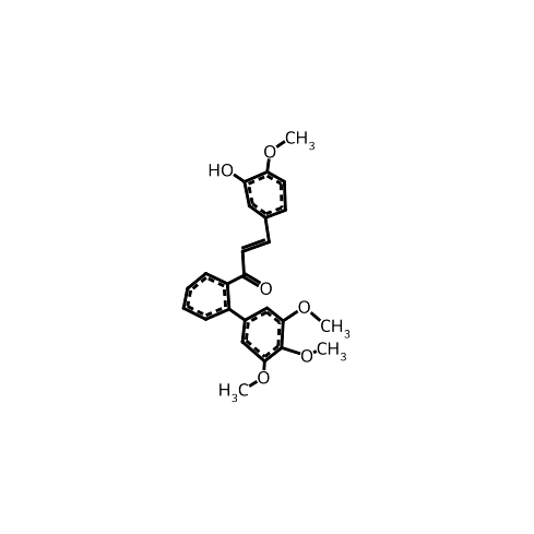 COc1ccc(C=CC(=O)c2ccccc2-c2cc(OC)c(OC)c(OC)c2)cc1O